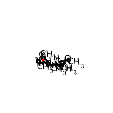 COc1ccc(N(Cc2cnccc2C)C2CCN([C@H](C)CCNC(=O)c3c(C)cc(CNC(C)=O)cc3C)CC2)cc1